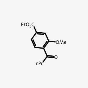 CCCC(=O)c1ccc(C(=O)OCC)cc1OC